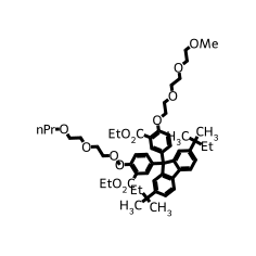 CCCOCCOCCOOc1ccc(C2(c3ccc(OCCOCCOCCOC)c(C(=O)OCC)c3)c3cc(C(C)(C)CC)ccc3-c3ccc(C(C)(C)CC)cc32)cc1C(=O)OCC